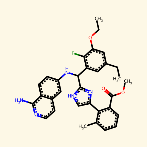 CCOc1cc(CC)cc(C(Nc2ccc3c(N)nccc3c2)c2nc(-c3c(C)cccc3C(=O)OC)c[nH]2)c1F